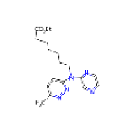 CCOC(=O)CCCCCCN(c1cnccn1)c1ccc(C(F)(F)F)nn1